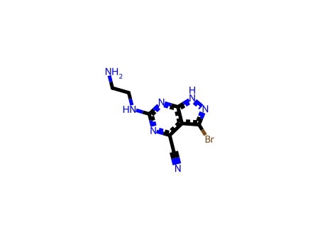 N#Cc1nc(NCCN)nc2[nH]nc(Br)c12